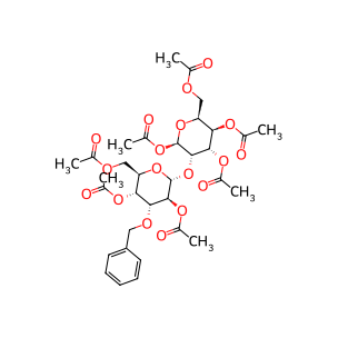 CC(=O)OC[C@@H]1O[C@H](OC(C)=O)[C@@H](O[C@H]2O[C@H](COC(C)=O)[C@@H](OC(C)=O)[C@@H](OCc3ccccc3)[C@@H]2OC(C)=O)[C@@H](OC(C)=O)[C@@H]1OC(C)=O